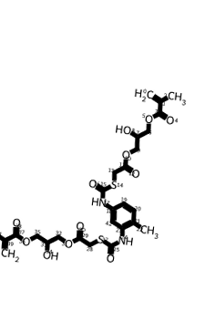 C=C(C)C(=O)OCC(O)COC(=O)CSC(=O)Nc1ccc(C)c(NC(=O)SCC(=O)OCC(O)COC(=O)C(=C)C)c1